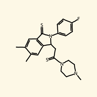 Cc1cc2c(cc1C)C(CC(=S)N1CCN(C)CC1)N(c1ccc(F)cc1)C2=S